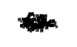 C[C@H](NC(=O)[C@H](CCN)NC(=O)[C@@H](N)CCCCN)C(=O)NCC(=O)N[C@H](CCCN)C(=O)N1C[C@H](N)C[C@H]1C(=O)N[C@@H](Cc1cnc[nH]1)C(=O)N[C@@H](CCCCN)C(=O)N/C(=C\CCNC(=N)N)C(=O)N[C@@H](CCCCN)C(=O)NCCCCN